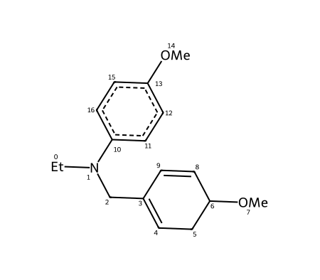 CCN(CC1=CCC(OC)C=C1)c1ccc(OC)cc1